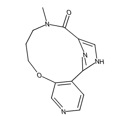 CN1CCCOc2cnccc2-c2nc(c[nH]2)C1=O